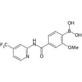 COc1cc(C(=O)Nc2cc(C(F)(F)F)ccn2)ccc1B(O)O